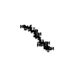 C[C@H](CCC(=O)O)C[C@H](C)C[C@H](C)C(=O)/C=C(\O)[C@H](C)C[C@H](C)C/C=C/[C@@H](C)[C@@H](O)[C@@H](C)[C@@H](O)C[C@H]1CC[C@@](C)([C@@H](C)O)O1